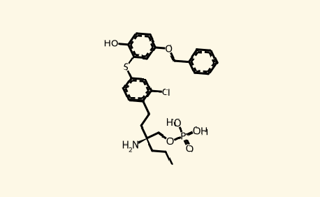 CCC[C@](N)(CCc1ccc(Sc2cc(OCc3ccccc3)ccc2O)cc1Cl)COP(=O)(O)O